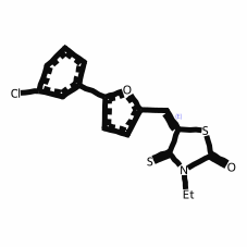 CCN1C(=O)S/C(=C/c2ccc(-c3cccc(Cl)c3)o2)C1=S